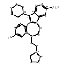 CC(C)c1ccc2c(c1)N(CCN1CCCC1)CCn1c-2c(C2CCCCC2)c2ccc(C(=O)O)cc21